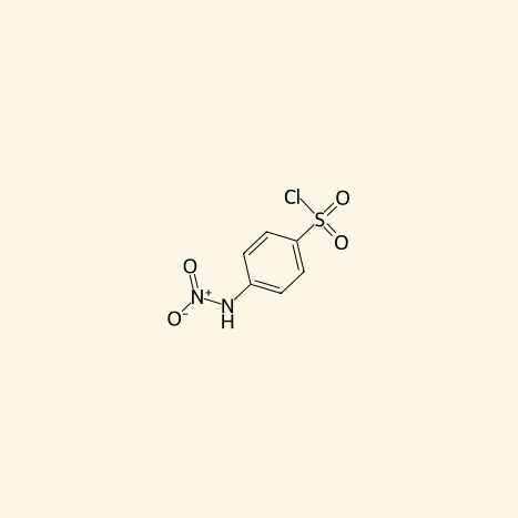 O=[N+]([O-])Nc1ccc(S(=O)(=O)Cl)cc1